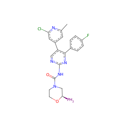 Cc1cc(-c2cnc(NC(=O)N3CCO[C@H](P)C3)nc2-c2ccc(F)cc2)cc(Cl)n1